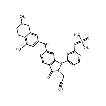 C#CCn1c(=O)c2cnc(Nc3cc(C)c4c(c3)CN(C)CC4)nc2n1-c1cccc(N=S(C)(C)=O)n1